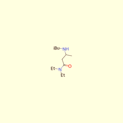 CCC(C)NC(C)CC(=O)N(CC)CC